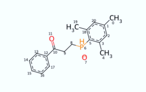 Cc1cc(C)c([PH](=O)CCC(=O)c2ccccc2)c(C)c1